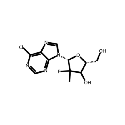 CC1(F)C(O)[C@@H](CO)O[C@H]1n1cnc2c(Cl)ncnc21